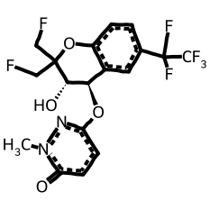 Cn1nc(O[C@@H]2c3cc(C(F)(F)C(F)(F)F)ccc3OC(CF)(CF)[C@H]2O)ccc1=O